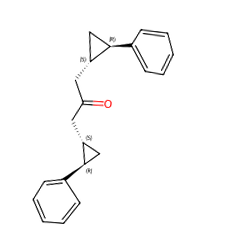 O=C(C[C@@H]1C[C@H]1c1ccccc1)C[C@@H]1C[C@H]1c1ccccc1